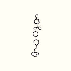 O=C(OC1CCC(C2CCC(CCC3OCCO3)CC2)CC1)c1ccc(Cl)cc1